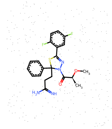 CO[C@@H](C)C(=O)N1N=C(c2cc(F)ccc2F)SC1(CCC(=N)N)c1ccccc1